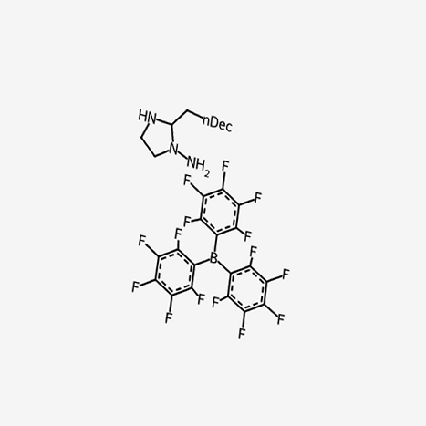 CCCCCCCCCCCC1NCCN1N.Fc1c(F)c(F)c(B(c2c(F)c(F)c(F)c(F)c2F)c2c(F)c(F)c(F)c(F)c2F)c(F)c1F